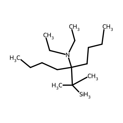 CCCCC(CCCC)(N(CC)CC)C(C)(C)[SiH3]